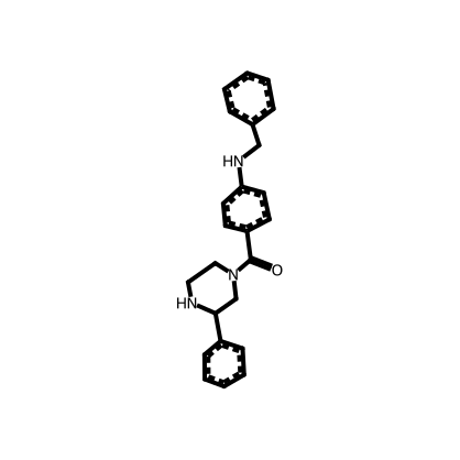 O=C(c1ccc(NCc2ccccc2)cc1)N1CCNC(c2ccccc2)C1